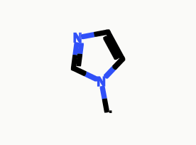 [CH2]n1ccnc1